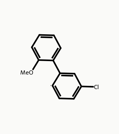 COc1ccccc1-c1[c]ccc(Cl)c1